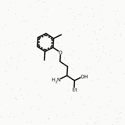 CCC(O)C(N)CCOc1c(C)cccc1C